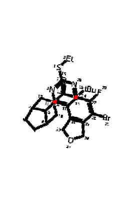 CCSc1nc(C2C3CCC2CN(C(=O)OC(C)(C)C)C3)c2c3c(c(Br)c(F)c2n1)COC3